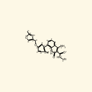 CCCNC(=O)c1c(N)c2cccc(-c3cc(OCc4coc(C)n4)ccc3F)c2[nH]c1=O